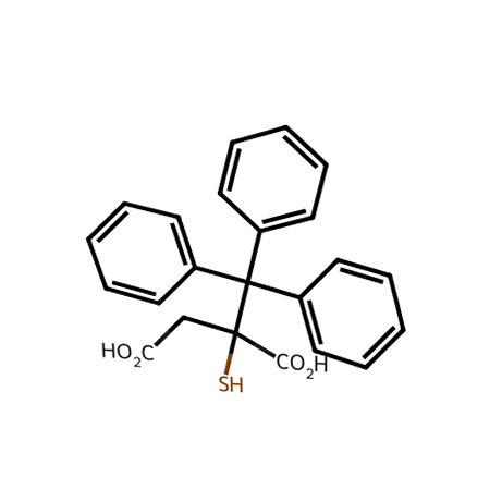 O=C(O)CC(S)(C(=O)O)C(c1ccccc1)(c1ccccc1)c1ccccc1